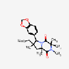 COCC1(C#N)CC2(C)C(=O)N(C)C(C)(C)C(=O)N2C1c1ccc2c(c1)OCO2